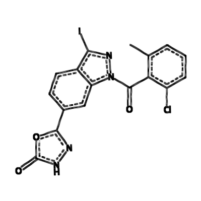 Cc1cccc(Cl)c1C(=O)n1nc(I)c2ccc(-c3n[nH]c(=O)o3)cc21